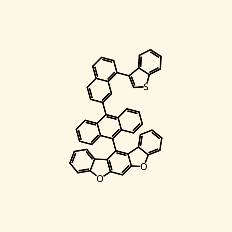 c1cc(-c2csc3ccccc23)c2cc(-c3c4ccccc4c(-c4c5c(cc6oc7ccccc7c46)oc4ccccc45)c4ccccc34)ccc2c1